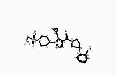 O=C(c1cnn(C2CCN(S(=O)(=O)CC(F)(F)F)CC2)c1C1CC1)N1CC[C@@H](c2ccccc2C(F)(F)F)C1